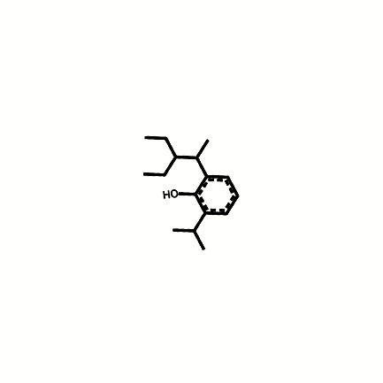 CCC(CC)C(C)c1cccc(C(C)C)c1O